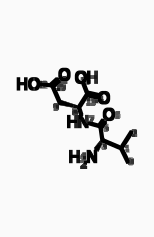 CC(C)[C@@H](N)C(=O)N[C@@H](CC(=O)O)C(=O)O